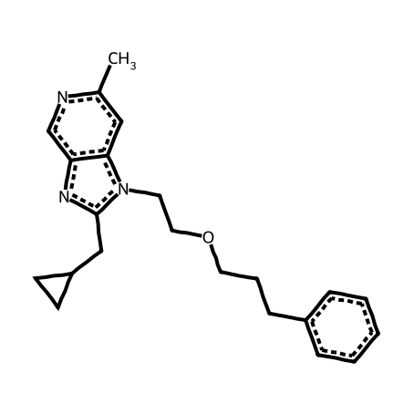 Cc1cc2c(cn1)nc(CC1CC1)n2CCOCCCc1ccccc1